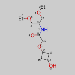 CCOCC(COCC)NC(=O)COC1CC(O)C1